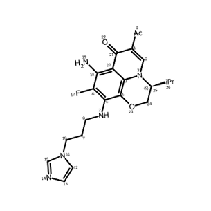 CC(=O)c1cn2c3c(c(NCCCn4ccnc4)c(F)c(N)c3c1=O)OC[C@@H]2C(C)C